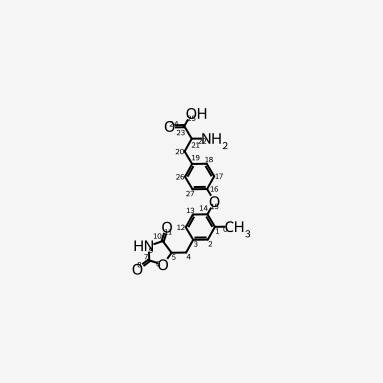 Cc1cc(CC2OC(=O)NC2=O)ccc1Oc1ccc(CC(N)C(=O)O)cc1